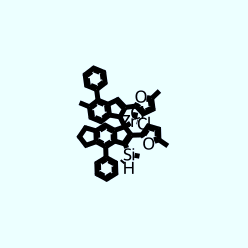 Cc1ccc(C2=Cc3c(ccc(C)c3-c3ccccc3)C2[C]2([Zr]([Cl])[Cl])C(c3ccc(C)o3)=C([SiH](C)C)c3c2cc2c(c3-c3ccccc3)CCC2)o1